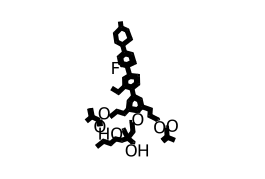 C=C(C)C(=O)OCCCc1cc(-c2ccc(-c3ccc(C4CCC(C)CC4)cc3F)cc2CC)cc(CCCOC(=O)C(=C)C)c1OCCC(CO)(CO)CCCCC